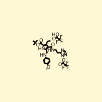 CCc1c(C(=O)OC(C)(C)C)[nH]c(CNc2ccc(OC)cc2)c1C(=O)NCCC1=NC=N[N+]1.O=C(O)C(F)(F)F.O=C([O-])C(F)(F)F